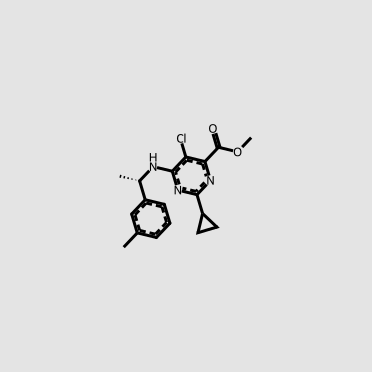 COC(=O)c1nc(C2CC2)nc(N[C@@H](C)c2cccc(C)c2)c1Cl